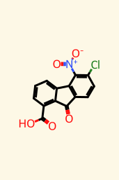 O=C(O)c1cccc2c1C(=O)c1ccc(Cl)c([N+](=O)[O-])c1-2